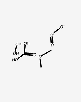 CSC.O=C(O)O.O=[O+][O-].OO